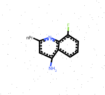 CCCc1cc(N)c2cccc(F)c2n1